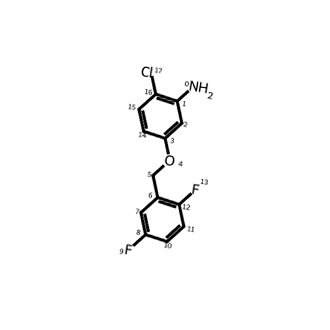 Nc1cc(OCc2cc(F)ccc2F)ccc1Cl